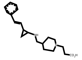 O=C(O)CCN1CCC(CNC2CC2/C=C/c2ccccc2)CC1